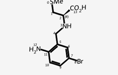 CSC[C@H](NCc1cc(Br)ccc1N)C(=O)O